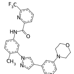 Cc1ccc(NC(=O)c2cccc(C(F)(F)F)n2)cc1-n1cc(-c2cncc(N3CCOCC3)c2)cn1